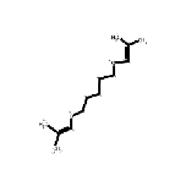 CC(C)=COCCCCCOC=C(C)C